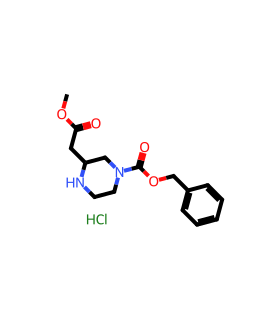 COC(=O)CC1CN(C(=O)OCc2ccccc2)CCN1.Cl